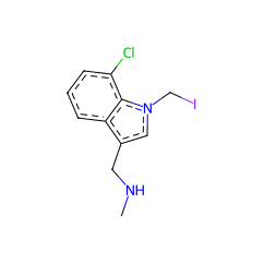 CNCc1cn(CI)c2c(Cl)cccc12